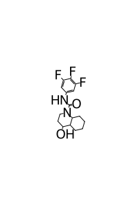 O=C(Nc1cc(F)c(F)c(F)c1)N1CCC(O)C2CCCCC21